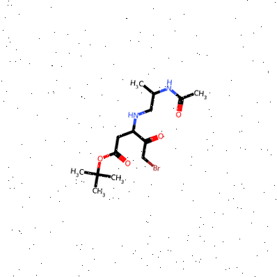 CC(=O)NC(C)CNC(CC(=O)OC(C)(C)C)C(=O)CBr